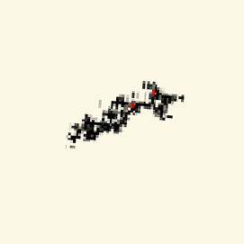 CCC(=O)NCCNC(=O)/N=C(/N)NCCC[C@@H](NC(=O)[C@@H](c1ccccc1)c1cccc(OCCCCNC(=O)[C@@H](CCCNC(=N)N)NC(=O)CCNCN2CCN(CC(=O)O)CCN(CC(=O)O)CCN(CC(=O)O)CC2)c1)C(=O)NCc1ccc(O)cc1